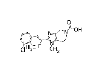 Cc1c(Cl)cccc1/C=C(\F)c1nc2c(n1C)CCN(C(=O)O)C2